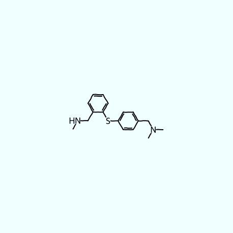 CNCc1ccccc1Sc1ccc(CN(C)C)cc1